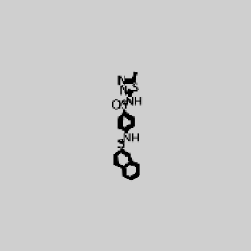 Cc1nnc(N[S+]([O-])c2ccc(NSc3ccc4ccccc4c3)cc2)s1